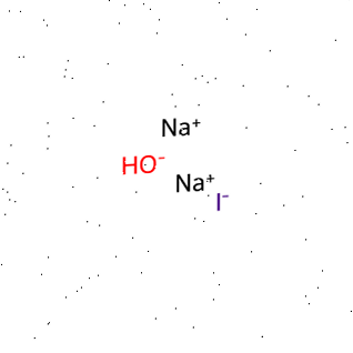 [I-].[Na+].[Na+].[OH-]